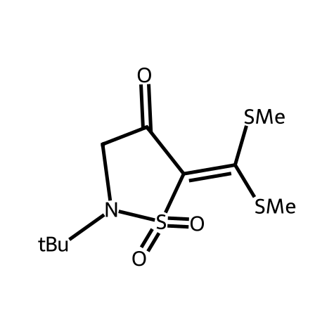 CSC(SC)=C1C(=O)CN(C(C)(C)C)S1(=O)=O